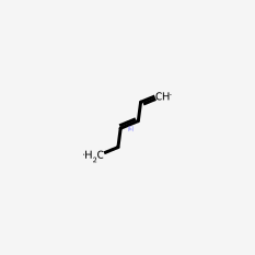 [CH]=C/C=C/C[CH2]